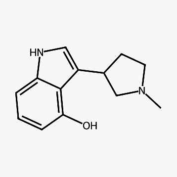 CN1CCC(c2c[nH]c3cccc(O)c23)C1